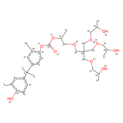 Cc1cc(C(C)(C)c2ccc(OC(=O)OC(C)COCC(COCC(C)O)(COCC(C)O)COCC(C)O)c(C)c2)ccc1O